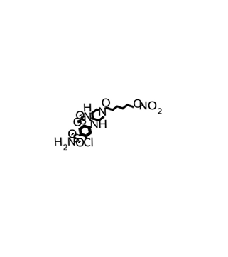 NS(=O)(=O)c1cc2c(cc1Cl)NC1(CCN(C(=O)CCCCCO[N+](=O)[O-])CC1)NS2(=O)=O